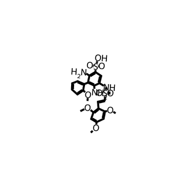 COc1cc(OC)c(C=CS(=O)(=O)Nc2cc(S(=O)(=O)O)c(N)c(-c3ccccc3OC)c2N)c(OC)c1